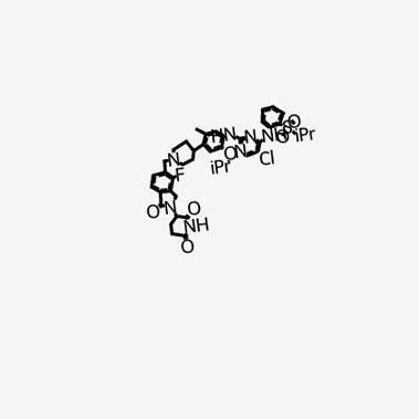 Cc1cc(Nc2ncc(Cl)c(Nc3ccccc3S(=O)(=O)C(C)C)n2)c(OC(C)C)cc1C1CCN(Cc2ccc3c(c2F)CN(C2CCC(=O)NC2=O)C3=O)CC1